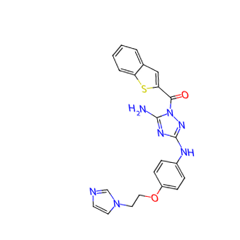 Nc1nc(Nc2ccc(OCCn3ccnc3)cc2)nn1C(=O)c1cc2ccccc2s1